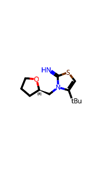 CC(C)(C)c1csc(=N)n1C[C@H]1CCCO1